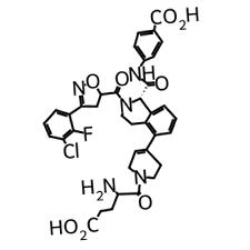 NC(CCC(=O)O)C(=O)N1CC=C(c2cccc3c2CCN(C(=O)C2CC(c4cccc(Cl)c4F)=NO2)[C@@H]3C(=O)Nc2ccc(C(=O)O)cc2)CC1